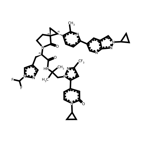 Cc1nc(-c2cnc3nn(C4CC4)cc3c2)ccc1[C@H]1C[C@@]12CCN([C@H](Cc1cnn(C(F)F)c1)C(=O)NC(C)(C)Cn1nc(C(F)(F)F)cc1-c1ccn(C3CC3)c(=O)c1)C2=O